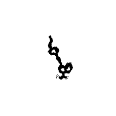 CCCc1ccc(C#Cc2ccc(/C(F)=C\F)c3ccccc23)cc1